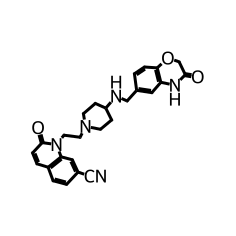 N#Cc1ccc2ccc(=O)n(CCN3CCC(NCc4ccc5c(c4)NC(=O)CO5)CC3)c2c1